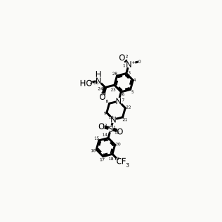 C[N+](=O)c1ccc(N2CCN(S(=O)(=O)c3cccc(C(F)(F)F)c3)CC2)c(C(=O)NO)c1